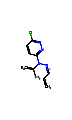 C=C/C=N\N(C(=C)C)c1ccc(Cl)nn1